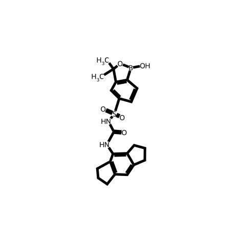 CC1(C)OB(O)c2ccc(S(=O)(=O)NC(=O)Nc3c4c(cc5c3CCC5)CCC4)cc21